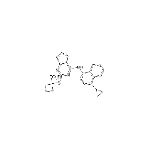 CCOC(=O)C1(Sc2nc(Nc3ccc(C4CC4)c4ccccc34)c3ccsc3n2)CCC1